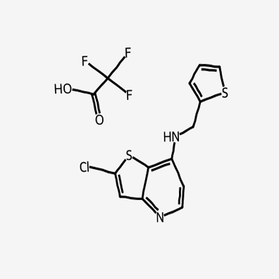 Clc1cc2nccc(NCc3cccs3)c2s1.O=C(O)C(F)(F)F